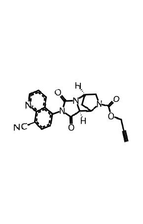 C#CCOC(=O)N1C[C@H]2CC1[C@H]1C(=O)N(c3ccc(C#N)c4ncccc34)C(=O)N21